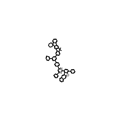 CC1(C)c2ccc(-c3cc(-c4ccccc4)cc(-c4ccc(-c5cc(-c6ccccc6)nc(-c6ccc(-c7ccccc7)c7oc8cc9ccccc9cc8c67)n5)cc4)c3)cc2-c2cc3c(cc21)-c1ccccc1C31CCCCC1